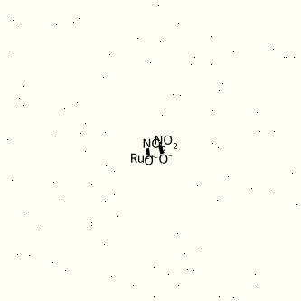 O=[N+]([O-])[O-].O=[N+]([O-])[O-].[Ru+2]